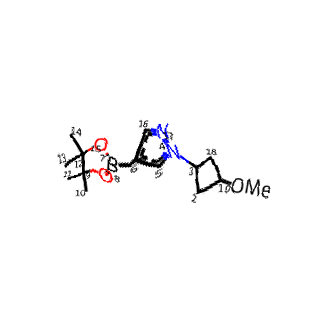 COC1CC(n2cc(B3OC(C)(C)C(C)(C)O3)cn2)C1